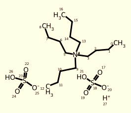 CCCC[N+](CCCC)(CCCC)CCCC.O=S(=O)([O-])O.O=S(=O)([O-])O.[H+]